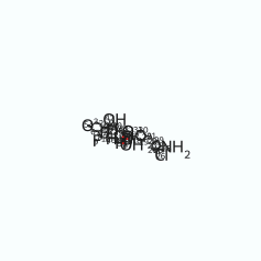 C[C@]12C=CC(=O)C=C1[C@@H](F)C[C@H]1[C@@H]3C[C@H]4O[C@H](c5ccc(Cc6ccc(Cl)c(N)c6)cc5)O[C@@]4(C(=O)CO)[C@@]3(C)C[C@H](O)[C@@]12F